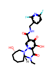 CCN1C(=O)c2c(O)c(=O)c(C(=O)NCc3ccc(F)nc3F)cn2N2C[C@@H](O)CCCC[C@@H]12